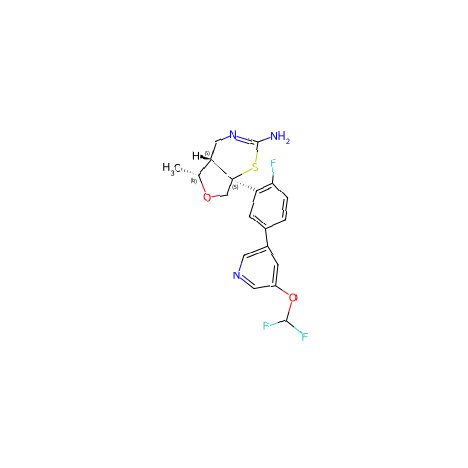 C[C@H]1OC[C@]2(c3cc(-c4cncc(OC(F)F)c4)ccc3F)SC(N)=NC[C@@H]12